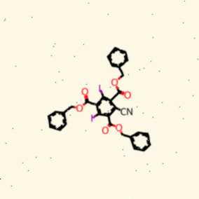 N#Cc1c(C(=O)OCc2ccccc2)c(I)c(C(=O)OCc2ccccc2)c(I)c1C(=O)OCc1ccccc1